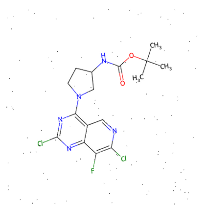 CC(C)(C)OC(=O)NC1CCN(c2nc(Cl)nc3c(F)c(Cl)ncc23)C1